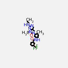 C=CCNc1ncc2c(n1)N(C)C(=O)N(c1cc(NC(=O)c3cccc(C(F)(F)F)c3)ccc1C)C2